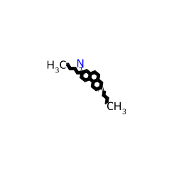 CCCCC[C@@H]1CCC2C(CCC3C[C@](C#N)(CCCCC)CCC32)C1